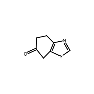 O=C1CCc2ncsc2C1